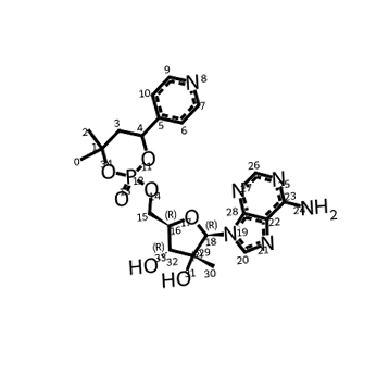 CC1(C)CC(c2ccncc2)OP(=O)(OC[C@H]2O[C@@H](n3cnc4c(N)ncnc43)[C@](C)(O)[C@@H]2O)O1